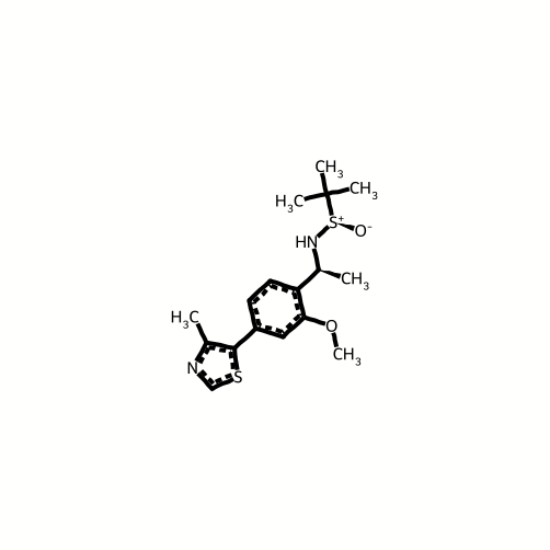 COc1cc(-c2scnc2C)ccc1[C@H](C)N[S@+]([O-])C(C)(C)C